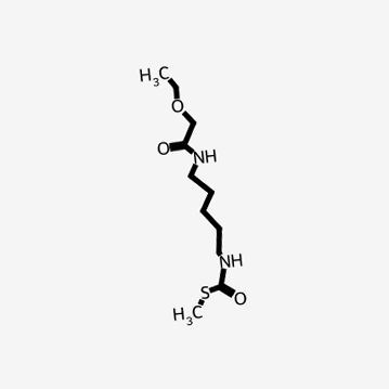 CCOCC(=O)NCCCCCNC(=O)SC